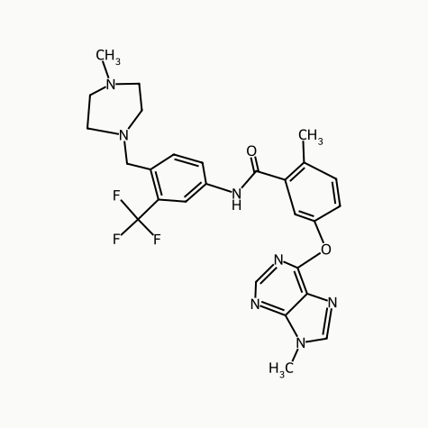 Cc1ccc(Oc2ncnc3c2ncn3C)cc1C(=O)Nc1ccc(CN2CCN(C)CC2)c(C(F)(F)F)c1